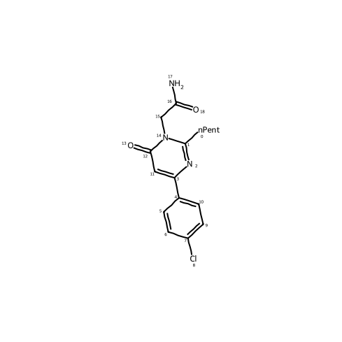 CCCCCc1nc(-c2ccc(Cl)cc2)cc(=O)n1CC(N)=O